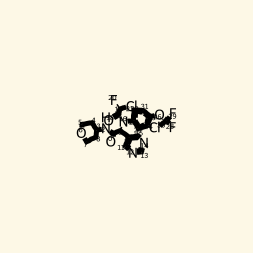 O=C(NC1CCOCC1)[C@@H](c1cncnc1)N(C(=O)[C@H](F)Cl)c1ccc(OC(F)(F)Cl)cc1